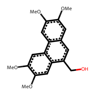 COc1cc2cc(CO)c3cc(OC)c(OC)cc3c2cc1OC